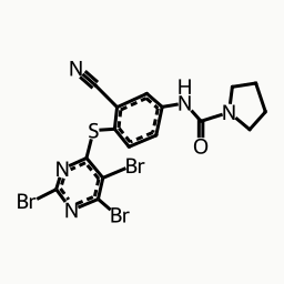 N#Cc1cc(NC(=O)N2CCCC2)ccc1Sc1nc(Br)nc(Br)c1Br